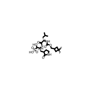 CC(C)C[C@H](NC(=O)OCC1CC(F)(F)C1)C(=O)N[C@@H](CC1CCNC1=O)C(O)S(=O)(=O)O